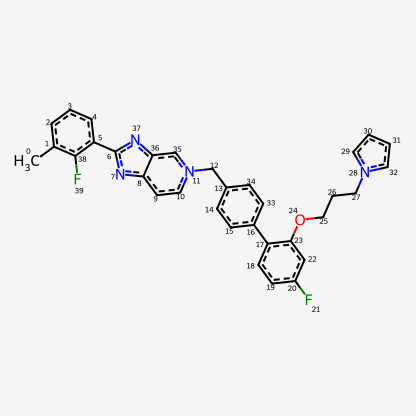 Cc1cccc(-c2nc3ccn(Cc4ccc(-c5ccc(F)cc5OCCCn5cccc5)cc4)cc-3n2)c1F